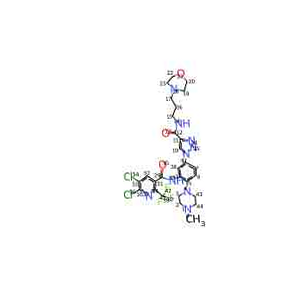 CN1CCN(c2ccc(-n3cc(C(=O)NCCCN4CCOCC4)nn3)cc2NC(=O)c2cc(Cl)c(Cl)nc2C(F)(F)F)CC1